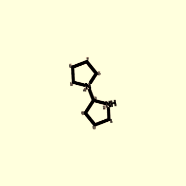 C1CNC(N2CCCC2)C1